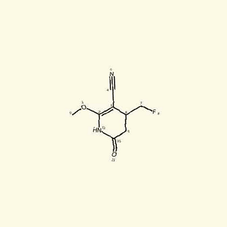 COC1=C(C#N)C(CF)CC(=O)N1